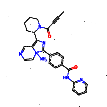 CC#CC(=O)N1CCCCC1C1=C2C=NC=C[N+]2(N)C(c2ccc(C(=O)Nc3ccccn3)cc2)=N1